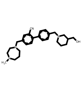 CN1CCCN(Cc2ccc(-c3ccc(CN4CCCC(CO)C4)cc3)c(C#N)c2)CC1